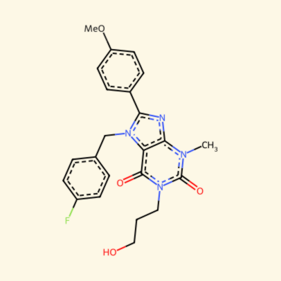 COc1ccc(-c2nc3c(c(=O)n(CCCO)c(=O)n3C)n2Cc2ccc(F)cc2)cc1